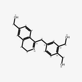 OCc1ccc2c(c1)CCN=C2Cc1ccc(CO)c(CO)c1